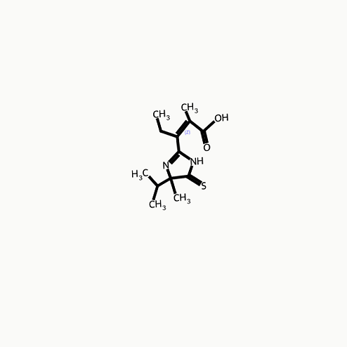 CC/C(C1=NC(C)(C(C)C)C(=S)N1)=C(\C)C(=O)O